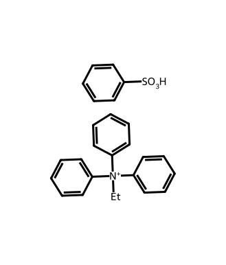 CC[N+](c1ccccc1)(c1ccccc1)c1ccccc1.O=S(=O)(O)c1ccccc1